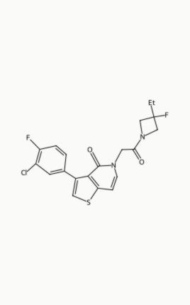 CCC1(F)CN(C(=O)Cn2ccc3scc(-c4ccc(F)c(Cl)c4)c3c2=O)C1